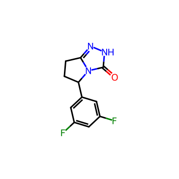 O=c1[nH]nc2n1C(c1cc(F)cc(F)c1)CC2